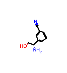 N#Cc1cccc([C@H](N)CO)c1